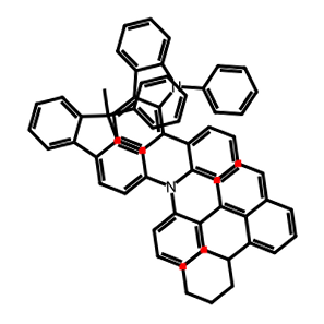 CC1(c2ccccc2)c2ccccc2-c2ccc(N(c3ccccc3-c3cccc4cccc(C5CCCCC5)c34)c3ccccc3-c3cccc4c5ccccc5n(-c5ccccc5)c34)cc21